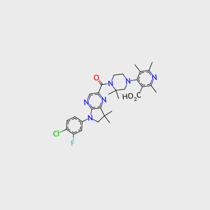 Cc1nc(C)c(C(=O)O)c(N2CCN(C(=O)c3cnc4c(n3)C(C)(C)CN4c3ccc(Cl)c(F)c3)C(C)(C)C2)c1C